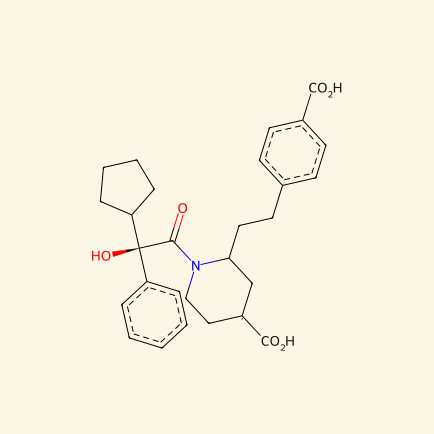 O=C(O)[C]1CCN(C(=O)[C@](O)(c2ccccc2)C2CCCC2)C(CCc2ccc(C(=O)O)cc2)C1